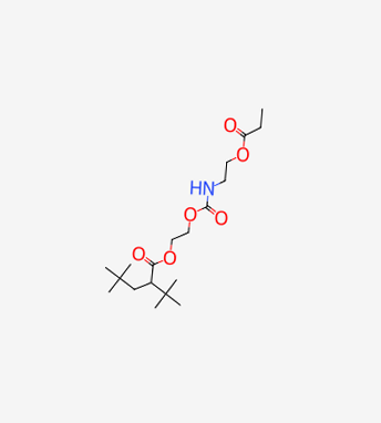 CCC(=O)OCCNC(=O)OCCOC(=O)C(CC(C)(C)C)C(C)(C)C